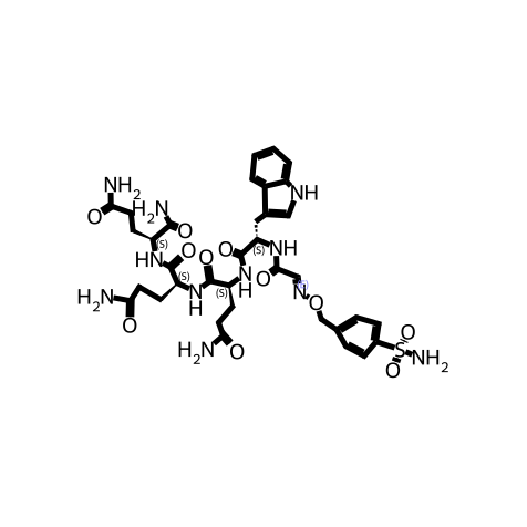 NC(=O)CC[C@H](NC(=O)[C@H](CCC(N)=O)NC(=O)[C@H](CCC(N)=O)NC(=O)[C@H](Cc1c[nH]c2ccccc12)NC(=O)/C=N/OCc1ccc(S(N)(=O)=O)cc1)C(N)=O